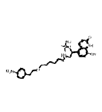 CC(C)(C)[Si](C)(C)OC(CNCCCCCCOCCc1ccc([N+](=O)[O-])cc1)c1ccc(O)c2[nH]c(=O)ccc12